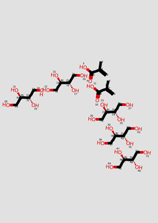 C=C(C)C(=O)O.C=C(C)C(=O)O.OC[C@@H](O)[C@@H](O)CO.OC[C@@H](O)[C@@H](O)CO.OC[C@@H](O)[C@@H](O)CO.OC[C@@H](O)[C@@H](O)CO.OC[C@@H](O)[C@@H](O)CO